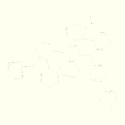 CC1(C)c2ccccc2-c2c(N(c3ccc(-c4ccccc4)cc3)c3ccc(-c4cccc5c4c4ccccc4n5-c4ccccc4)c4ccccc34)cccc21